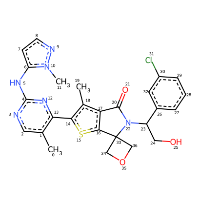 Cc1cnc(Nc2ccnn2C)nc1-c1sc2c(c1C)C(=O)N(C(CO)c1cccc(Cl)c1)C21COC1